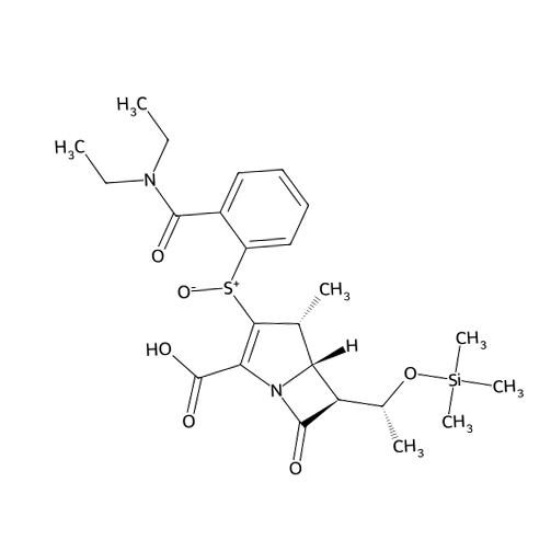 CCN(CC)C(=O)c1ccccc1[S+]([O-])C1=C(C(=O)O)N2C(=O)[C@H]([C@@H](C)O[Si](C)(C)C)[C@H]2[C@H]1C